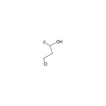 OC(F)CCCl